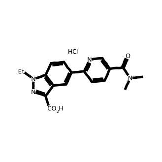 CCn1nc(C(=O)O)c2cc(-c3ccc(C(=O)N(C)C)cn3)ccc21.Cl